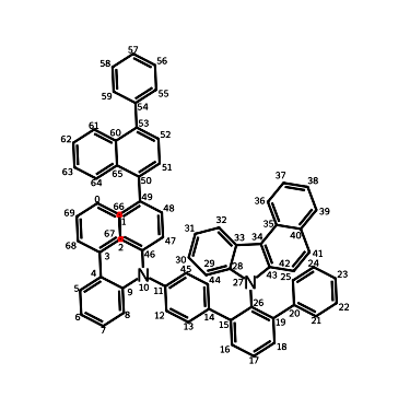 c1ccc(-c2ccccc2N(c2ccc(-c3cccc(-c4ccccc4)c3-n3c4ccccc4c4c5ccccc5ccc43)cc2)c2ccc(-c3ccc(-c4ccccc4)c4ccccc34)cc2)cc1